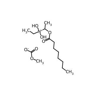 CCCCCCCC(=O)OC(C)[N+](O)(O)CC.COC(=O)[O-]